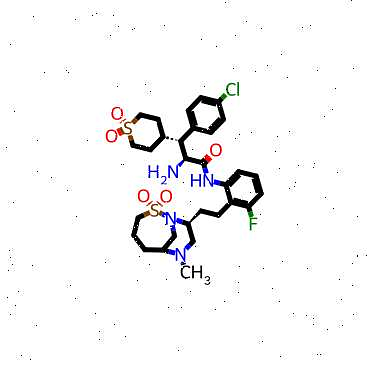 CN1C[C@H](CCc2c(F)cccc2NC(=O)[C@@H](N)[C@@H](c2ccc(Cl)cc2)C2CCS(=O)(=O)CC2)N2CC1CCCS2(=O)=O